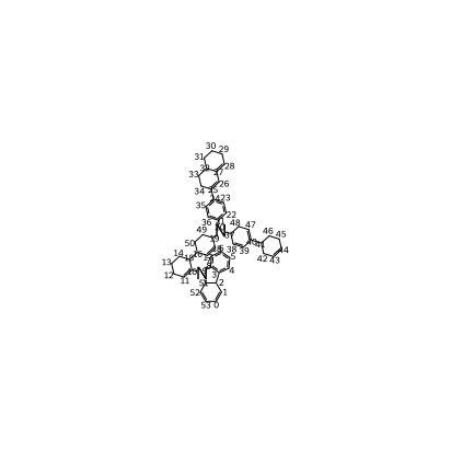 C1=CC2c3ccccc3N(C3=CCCCC3C3C=CC(N(c4ccc(C5=CC6=CCCCC6CC5)cc4)C4C=CC(C5CC=CCC5)=CC4)CC3)C2C=C1